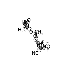 C#Cc1c(F)ccc2cccc(-c3ncc4c(N5CCCC(C#N)CC5)nc(OC[C@@]56CCCN5[C@@H](OC(=O)N(C)CCOc5ccc7c(c5)n(C)c(=O)n7C5CCC(=O)NC5=O)CC6)nc4c3F)c12